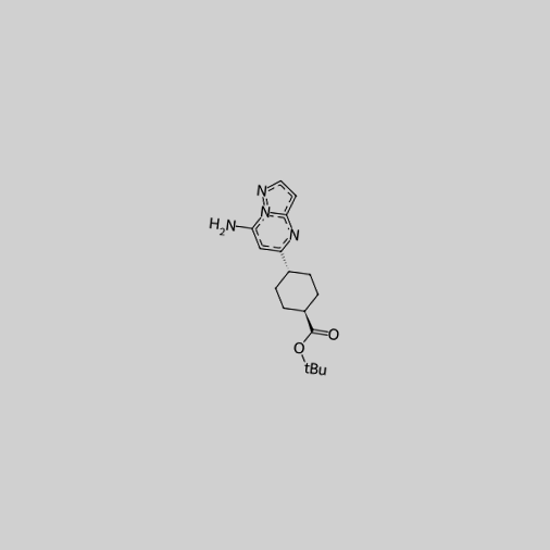 CC(C)(C)OC(=O)[C@H]1CC[C@H](c2cc(N)n3nccc3n2)CC1